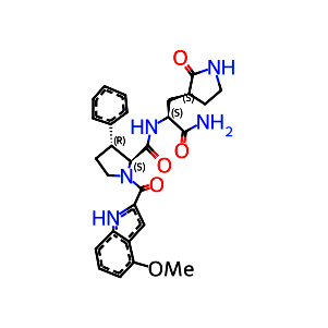 COc1cccc2[nH]c(C(=O)N3CC[C@H](c4ccccc4)[C@H]3C(=O)N[C@@H](C[C@@H]3CCNC3=O)C(N)=O)cc12